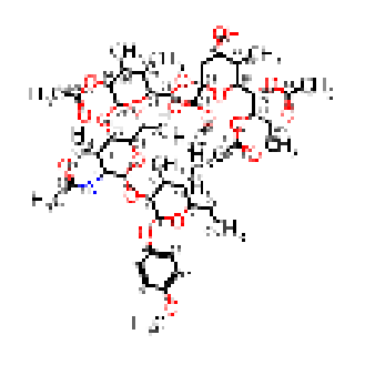 CCC1O[C@H](Oc2ccc(OC)cc2)C(O[C@@H]2OC(CC)[C@@H](O[C@@H]3OC(CO[C@]4(C(=O)OC)C[C@@H](O)[C@@H](C)C([C@H](OC(C)=O)[C@@H](CC)OC(C)=O)O4)[C@H](C)[C@H](C)C3OC(C)=O)[C@H](C)C2NC(C)=O)[C@@H](C)[C@@H]1C